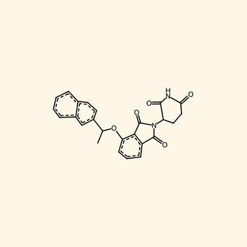 CC(Oc1cccc2c1C(=O)N(C1CCC(=O)NC1=O)C2=O)c1ccc2ccccc2c1